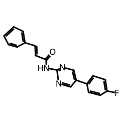 O=C(C=Cc1ccccc1)Nc1ncc(-c2ccc(F)cc2)cn1